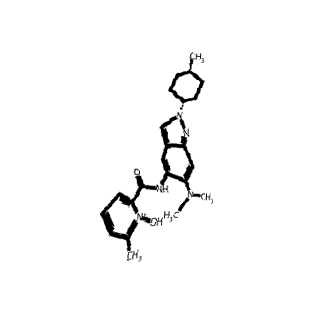 Cc1cccc(C(=O)Nc2cc3cn([C@H]4CC[C@H](C)CC4)nc3cc2N(C)C)[n+]1O